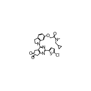 CN(CC1CC1)C(=O)COc1ccc2c(c1)N(c1nc(-c3ccc(Cl)s3)nc3c1CS(=O)(=O)C3)CC2